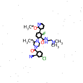 CCOc1ncccc1-c1ccc(N2CCN(C(=O)c3ccc(Cl)cc3C#N)C[C@H]2CC)c(C(=O)NCCN(C)C)c1F